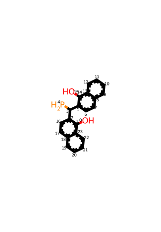 Oc1c(C(P)c2ccc3ccccc3c2O)ccc2ccccc12